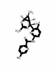 C[C@@H]1[C@@H]2OC(N)=N[C@@](C)(c3nc(NC(=O)c4ccc(C#N)cn4)ccc3F)[C@H]12